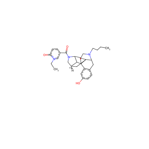 CCCCN1CCC23c4cc(O)ccc4CC1C21CCC2C3[C@@H](CN2C(=O)c2ccc(=O)n(CC)c2)C1